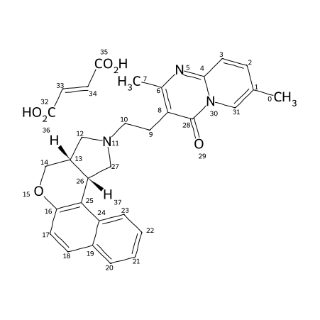 Cc1ccc2nc(C)c(CCN3C[C@H]4COc5ccc6ccccc6c5[C@H]4C3)c(=O)n2c1.O=C(O)/C=C/C(=O)O